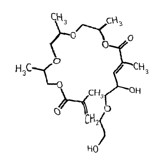 C=C(C)C(=O)OCC(C)OCC(C)OCC(C)OC(=O)C(C)=CC(O)COCCO